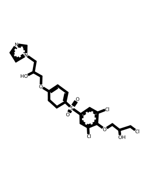 O=S(=O)(C1=CC=C(OCC(O)Cn2ccnc2)CC1)c1cc(Cl)c(OCC(O)CCl)c(Cl)c1